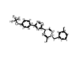 C=NN(Cc1cccc(C)c1)/C(C)=N\Cc1nc(-c2ccc(OC(F)(F)F)cc2)no1